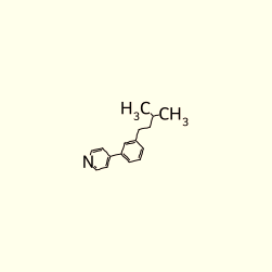 CC(C)CCc1cccc(-c2ccncc2)c1